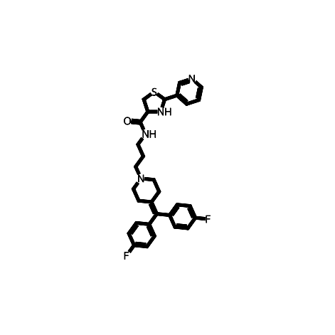 O=C(NCCCN1CCC(=C(c2ccc(F)cc2)c2ccc(F)cc2)CC1)C1CSC(c2cccnc2)N1